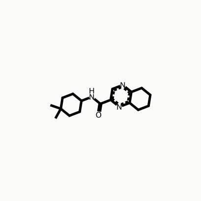 CC1(C)CCC(NC(=O)c2cnc3c(n2)CCCC3)CC1